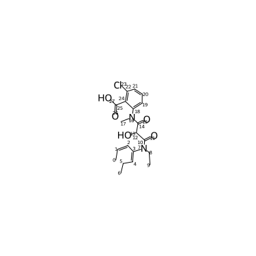 C/C=C\C(=C/CC)N(CC)C(=O)C(O)C(=O)N(C)c1cccc(Cl)c1C(=O)O